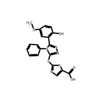 COc1ccc(O)c(-c2nnc(Sc3ncc(C(=O)O)s3)n2-c2ccccc2)c1